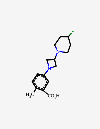 Cc1ccc(N2CC(N3CCC(F)CC3)C2)cc1C(=O)O